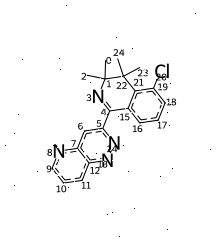 CC1(C)N=C(c2cc3ncccc3nn2)c2cccc(Cl)c2C1(C)C